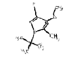 COc1c(F)nn(C(C)(C)C)c1C